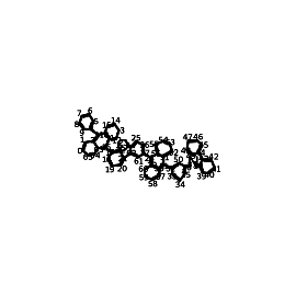 C1=CC2=C(c3ccccc3)C3=C(CCC=C3)C(c3cccc4c3oc3ccc(-c5c6c(c(-c7cccc(-n8c9ccccc9c9ccccc98)c7)c7ccccc57)C=CCC6)cc34)C2C=C1